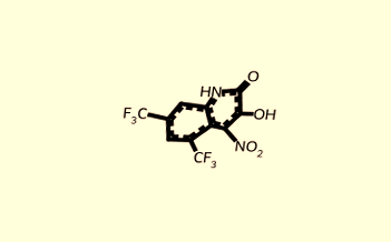 O=c1[nH]c2cc(C(F)(F)F)cc(C(F)(F)F)c2c([N+](=O)[O-])c1O